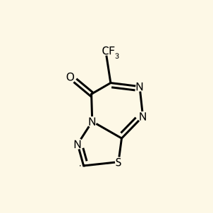 O=c1c(C(F)(F)F)nnc2s[c]nn12